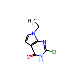 CCn1ccc2c(=O)[nH]c(Cl)nc21